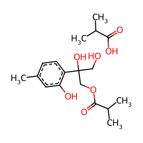 CC(C)C(=O)O.Cc1ccc(C(O)(CO)COC(=O)C(C)C)c(O)c1